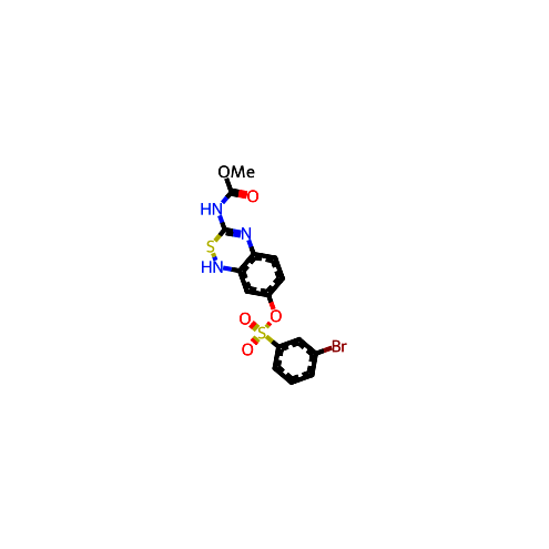 COC(=O)NC1=Nc2ccc(OS(=O)(=O)c3cccc(Br)c3)cc2NS1